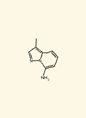 Cc1cnn2c(N)cccc12